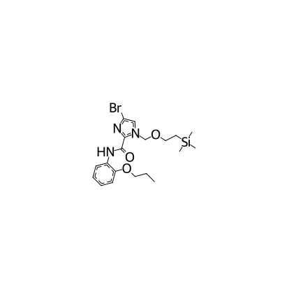 CCCOc1ccccc1NC(=O)c1nc(Br)cn1COCC[Si](C)(C)C